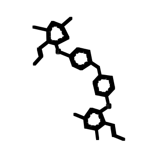 CC=Cc1c(C)cc(C)cc1Oc1ccc(Cc2ccc(Oc3cc(C)cc(C)c3C=CC)cc2)cc1